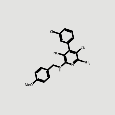 COc1ccc(CNc2nc(N)c(C#N)c(-c3cccc(Cl)c3)c2C#N)cc1